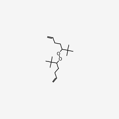 C=CCCC(OOC(CCC=C)C(C)(C)C)C(C)(C)C